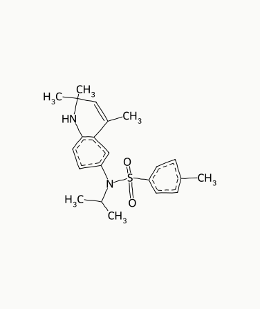 CC1=CC(C)(C)Nc2ccc(N(C(C)C)S(=O)(=O)c3ccc(C)cc3)cc21